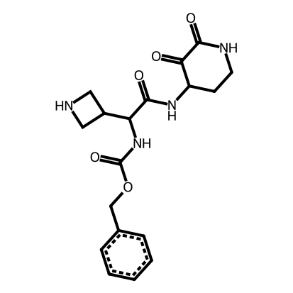 O=C(NC(C(=O)NC1CCNC(=O)C1=O)C1CNC1)OCc1ccccc1